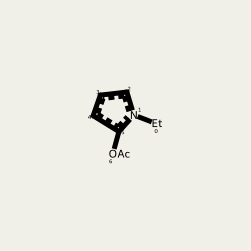 CCn1cccc1OC(C)=O